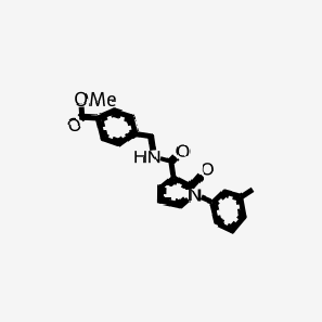 COC(=O)c1ccc(CNC(=O)c2cccn(-c3cccc(C)c3)c2=O)cc1